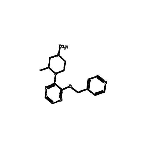 CC1CN(C(=O)O)CCN1c1nccnc1OCc1ccncc1